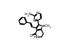 Cn1c2c(c(/C=C/c3ccccc3)c1-c1ccnc(N)n1)C(=O)NCC2